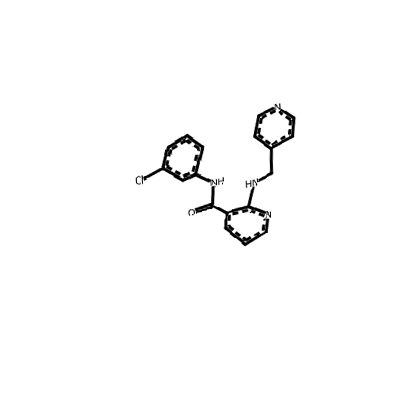 O=C(Nc1cccc(Cl)c1)c1cccnc1NCc1ccncc1